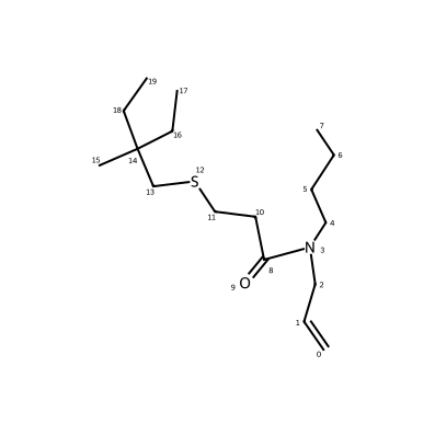 C=CCN(CCCC)C(=O)CCSCC(C)(CC)CC